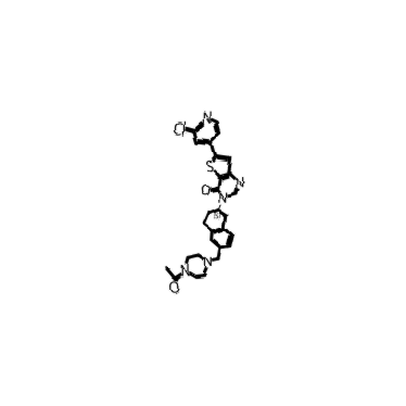 CC(=O)N1CCN(Cc2ccc3c(c2)CC[C@H](n2cnc4cc(-c5ccnc(Cl)c5)sc4c2=O)C3)CC1